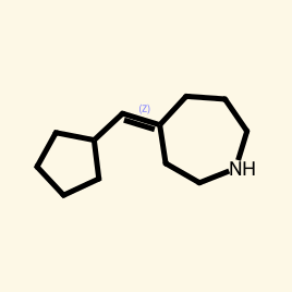 C(=C1\CCCNCC1)/C1CCCC1